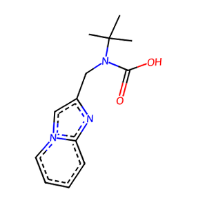 CC(C)(C)N(Cc1cn2ccccc2n1)C(=O)O